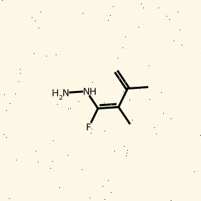 C=C(C)/C(C)=C(/F)NN